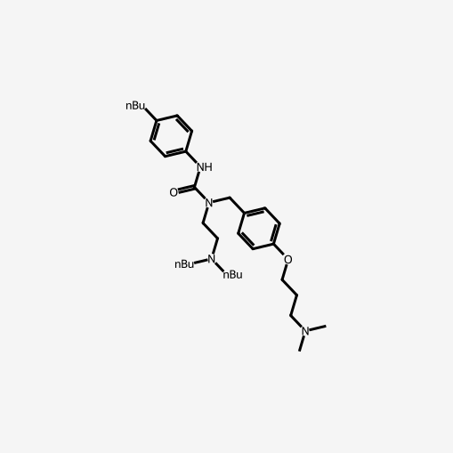 CCCCc1ccc(NC(=O)N(CCN(CCCC)CCCC)Cc2ccc(OCCCN(C)C)cc2)cc1